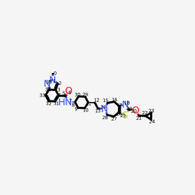 Cn1cc2c(C(=O)N[C@H]3CC[C@H](CCN4CCc5nc(OCC6CC6)sc5CC4)CC3)cccc2n1